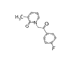 Cc1cccn(CC(=O)c2ccc(F)cc2)c1=O